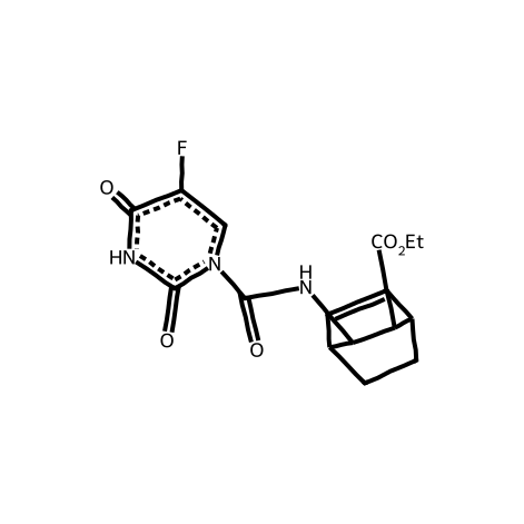 CCOC(=O)C1C2C=CC(CC2)C1NC(=O)n1cc(F)c(=O)[nH]c1=O